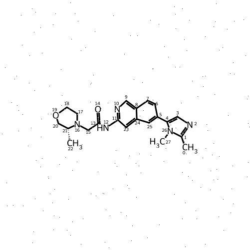 Cc1ncc(-c2ccc3cnc(NC(=O)CN4CCOC[C@H]4C)cc3c2)n1C